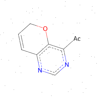 CC(=O)c1ncnc2c1OCC=C2